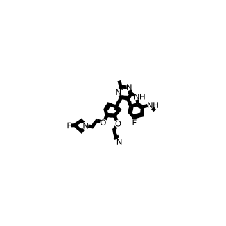 CNc1cc(F)cc2c1[nH]c1nc(C)nc(-c3ccc(OCCN4CC(F)C4)c(OCC#N)c3)c12